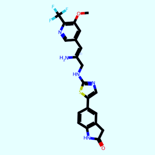 COc1cc(/C=C(\N)CNc2ncc(-c3ccc4c(c3)CC(=O)N4)s2)cnc1C(F)(F)F